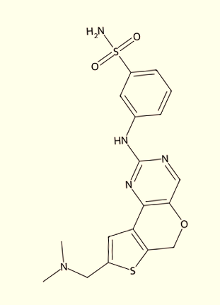 CN(C)Cc1cc2c(s1)COc1cnc(Nc3cccc(S(N)(=O)=O)c3)nc1-2